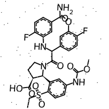 CCS(=O)(=O)c1ccc(NC(=O)OC)cc1[C@H]1[C@@H](C(=O)O)CCN1C(=O)C(Nc1cc(C(N)=O)ccc1F)c1ccc(F)c(OC)c1